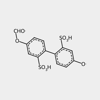 [O]c1ccc(-c2ccc(O[C]=O)cc2S(=O)(=O)O)c(S(=O)(=O)O)c1